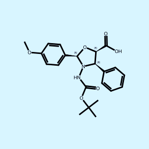 COc1ccc([C@H]2O[C@@H](C(=O)O)[C@@H](c3ccccc3)N2NC(=O)OC(C)(C)C)cc1